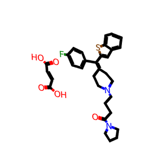 O=C(CCCN1CCC(=C(c2ccc(F)cc2)c2cc3ccccc3s2)CC1)N1CCCC1.O=C(O)C=CC(=O)O